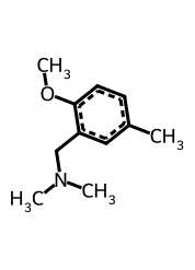 COc1ccc(C)cc1CN(C)C